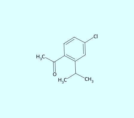 CC(=O)c1ccc(Cl)cc1C(C)C